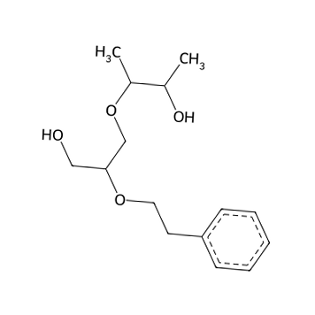 CC(O)C(C)OCC(CO)OCCc1ccccc1